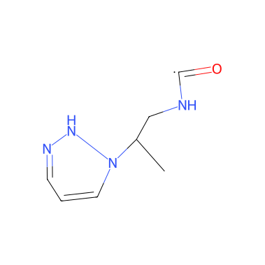 CC(CN[C]=O)N1C=CC=NN1